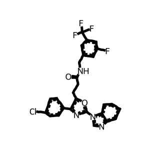 O=C(CCc1oc(-n2cnc3ccccc32)nc1-c1ccc(Cl)cc1)NCc1cc(F)cc(C(F)(F)F)c1